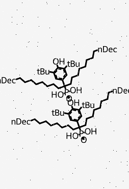 CCCCCCCCCCCCCCCCCCC(CCCCCCCCCCCCCCCCCC)(c1cc(C(C)(C)C)c(O)c(C(C)(C)C)c1)P(=O)(O)O.CCCCCCCCCCCCCCCCCCC(CCCCCCCCCCCCCCCCCC)(c1cc(C(C)(C)C)c(O)c(C(C)(C)C)c1)P(=O)(O)O